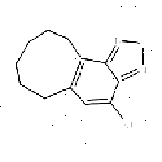 Cc1cc2c(c3nsnc13)CCCCCC2